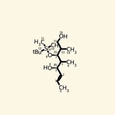 CC=C[C@@H](O)C(C)[C@@H](O[Si](C)(C)C(C)(C)C)C(C)CO